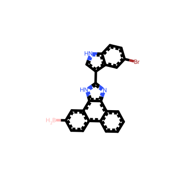 Bc1ccc2c3ccccc3c3nc(-c4c[nH]c5ccc(Br)cc45)[nH]c3c2c1